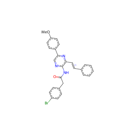 COc1ccc(-c2cnc(NC(=O)Cc3ccc(Br)cc3)c(/C=C/c3ccccc3)n2)cc1